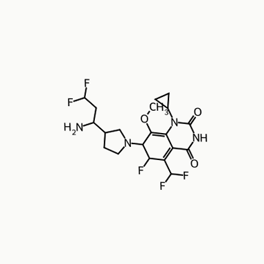 COC1=c2c(c(=O)[nH]c(=O)n2C2CC2)=C(C(F)F)C(F)C1N1CCC(C(N)CC(F)F)C1